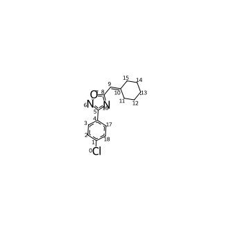 Clc1ccc(-c2noc(C=C3CC[CH]CC3)n2)cc1